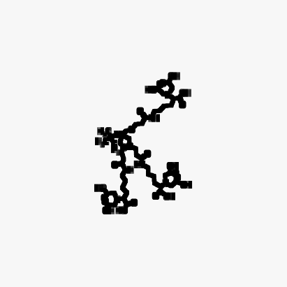 CC(C)(C)NC(COCCC(=O)NCCCCC(C(=O)O)N(CC(=O)O)CC(=O)O)(COCCC(=O)NCCCCC(C(=O)O)N(CC(=O)O)CC(=O)O)COCCC(=O)NCCCCC(C(=O)O)N(CC(=O)O)CC(=O)O